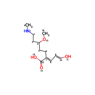 CNCCC(CC/C(=C\C=C\O)C(=O)O)OC